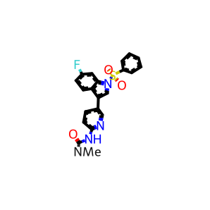 CNC(=O)Nc1ccc(-c2cn(S(=O)(=O)c3ccccc3)c3cc(F)ccc23)cn1